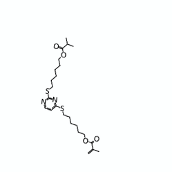 C=C(C)C(=O)OCCCCCCSc1ccnc(SCCCCCCOC(=O)C(C)C)n1